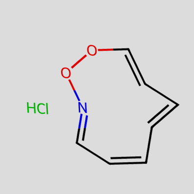 C1=C\C=N\OO/C=C/C=C/1.Cl